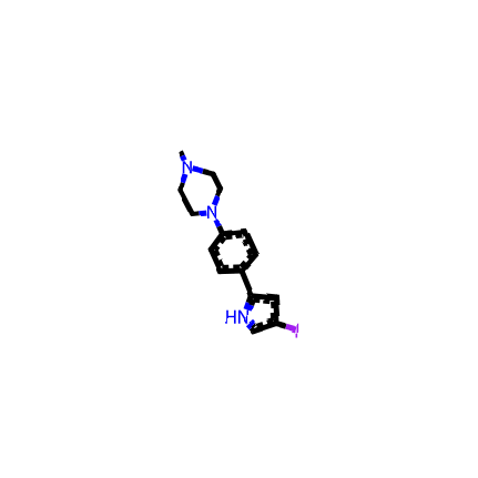 CN1CCN(c2ccc(-c3cc(I)c[nH]3)cc2)CC1